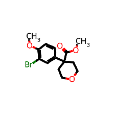 COC(=O)C1(c2ccc(OC)c(Br)c2)CCOCC1